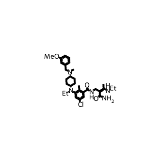 CCN/C(C)=C(/CNC(=O)c1cc(Cl)cc(N(CC)[C@H]2CC[C@H](N(C)Cc3cccc(OC)c3)CC2)c1C)C(N)=O